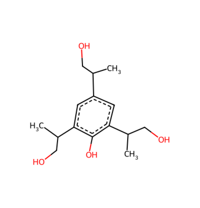 CC(CO)c1cc(C(C)CO)c(O)c(C(C)CO)c1